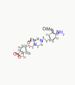 CCOC(CN1CCN(CCc2ccc(N)c(OC)c2)CC1)c1ccc2c(c1C)COC2=O